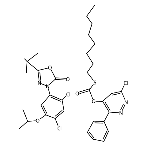 CC(C)Oc1cc(-n2nc(C(C)(C)C)oc2=O)c(Cl)cc1Cl.CCCCCCCCSC(=O)Oc1cc(Cl)nnc1-c1ccccc1